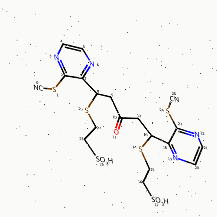 N#CSc1nccnc1C(CC(=O)CC(SCCS(=O)(=O)O)c1nccnc1SC#N)SCCS(=O)(=O)O